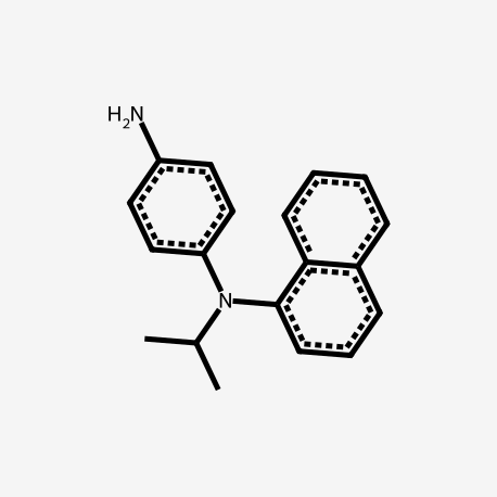 CC(C)N(c1ccc(N)cc1)c1cccc2ccccc12